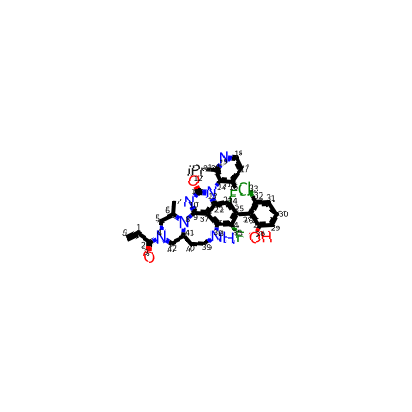 C=CC(=O)N1CC(C)N2c3nc(=O)n(-c4c(C)ccnc4C(C)C)c4c(F)c(-c5c(O)cccc5Cl)c(F)c(c34)NCCC2C1